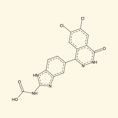 O=C(O)Nc1nc2cc(-c3n[nH]c(=O)c4cc(Cl)c(Cl)cc34)ccc2[nH]1